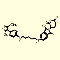 Cc1noc(C)c1-c1ccc(NCCCCCNc2ccc3c(c2)C(=O)N(C2CCC(=O)NC2=O)C3=O)cc1